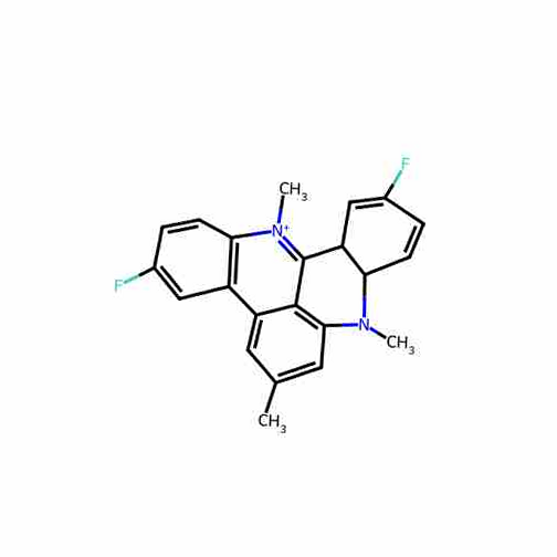 Cc1cc2c3c([n+](C)c4ccc(F)cc4c3c1)C1C=C(F)C=CC1N2C